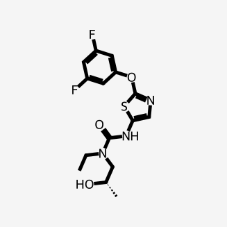 CCN(C[C@H](C)O)C(=O)Nc1cnc(Oc2cc(F)cc(F)c2)s1